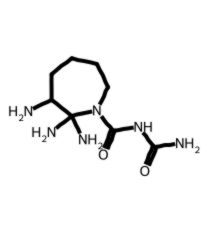 NC(=O)NC(=O)N1CCCCC(N)C1(N)N